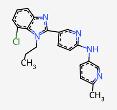 CCCn1c(-c2ccc(Nc3ccc(C)nc3)nc2)nc2cccc(Cl)c21